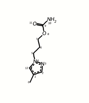 Cc1cnn(CCCOC(N)=O)c1